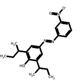 CCC(C)c1cc(N=Nc2cccc([N+](=O)[O-])c2)cc(C(C)CC)c1O